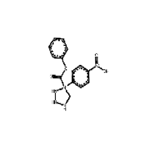 O=C(Oc1ccccc1)[N+]1(c2ccc([N+](=O)O)cc2)CNNN1